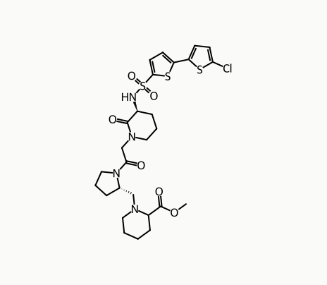 COC(=O)C1CCCCN1C[C@@H]1CCCN1C(=O)CN1CCC[C@H](NS(=O)(=O)c2ccc(-c3ccc(Cl)s3)s2)C1=O